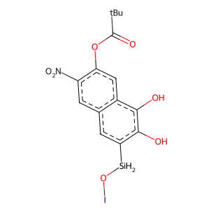 CC(C)(C)C(=O)Oc1cc2c(O)c(O)c([SiH2]OI)cc2cc1[N+](=O)[O-]